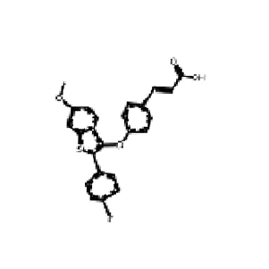 COc1ccc2c(Oc3ccc(C=CC(=O)O)cc3)c(-c3ccc(F)cc3)sc2c1